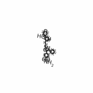 NS(=O)(=O)c1ccc(-c2oc(CCCc3cncc(C4(O)CCOCC4)c3)nc2-c2ccccc2)cc1